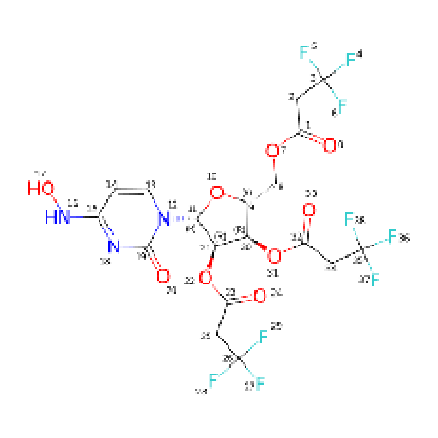 O=C(CC(F)(F)F)OC[C@H]1O[C@@H](n2ccc(NO)nc2=O)[C@H](OC(=O)CC(F)(F)F)[C@@H]1OC(=O)CC(F)(F)F